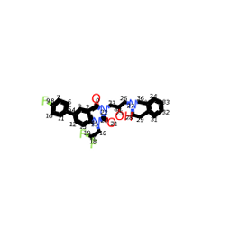 O=c1c2cc(-c3ccc(F)cc3)ccc2n(CC(F)F)c(=O)n1C[C@H](O)CN1CCc2ccccc2C1